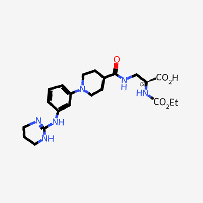 CCOC(=O)N[C@@H](CNC(=O)C1CCN(c2cccc(NC3=NCCCN3)c2)CC1)C(=O)O